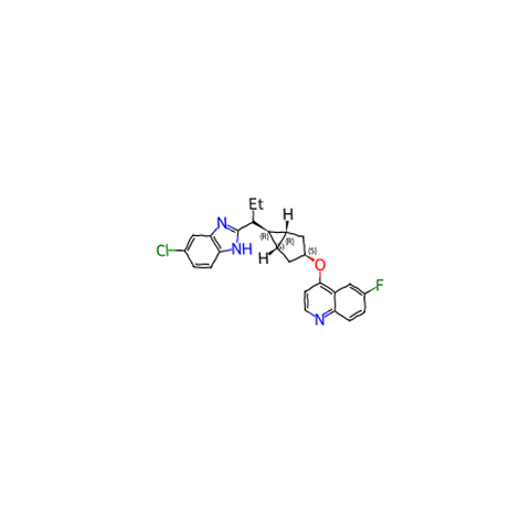 CCC(c1nc2cc(Cl)ccc2[nH]1)[C@H]1[C@@H]2C[C@@H](Oc3ccnc4ccc(F)cc34)C[C@@H]21